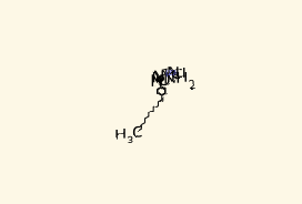 CCCCCCCCCCCCc1ccc(-c2nnc(C3(/C(N)=N/Cl)CC3)o2)cc1